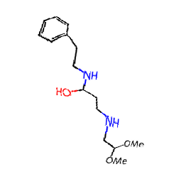 COC(CNCCC(O)NCCc1ccccc1)OC